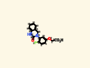 O=C(O)COc1ccc(F)c(N2Cc3ccccc3NC2=O)c1